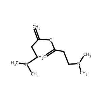 C=C(CCN(C)C)OC(=C)CCN(C)C